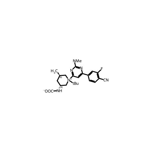 CNc1nc(-c2ccc(C#N)c(F)c2)cc([N+]2(C(C)(C)C)C[C@H](C)C[C@@H](NC(=O)[O-])C2)n1